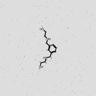 OCCNCc1cccc(CNCCO)c1